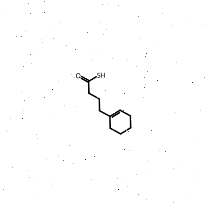 O=C(S)CCCC1=CCCCC1